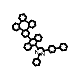 c1ccc(-c2ccc(-c3cc(-c4c5ccccc5c(-c5ccc6c(c5)-c5ccccc5-c5ccccc5-c5ccccc5-6)c5ccccc45)nc(-c4ccccc4)n3)cc2)cc1